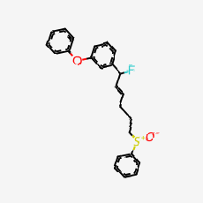 [O-][S+](CCCC=CC(F)c1cccc(Oc2ccccc2)c1)c1ccccc1